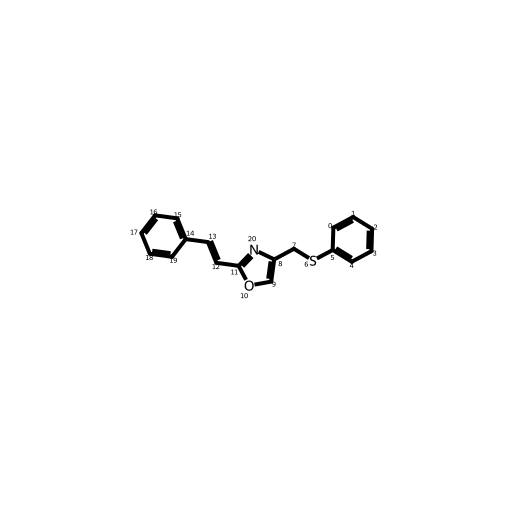 [c]1ccccc1SCc1coc(C=Cc2ccccc2)n1